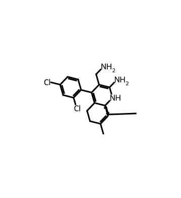 CC1=CC2=C(C)CCC3=C(c4ccc(Cl)cc4Cl)C(CN)=C(N)NC23C=C1